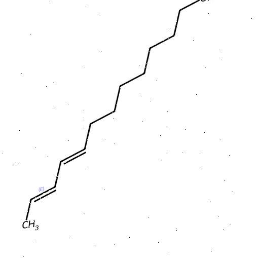 C/C=C/C=CCCCCCCCO